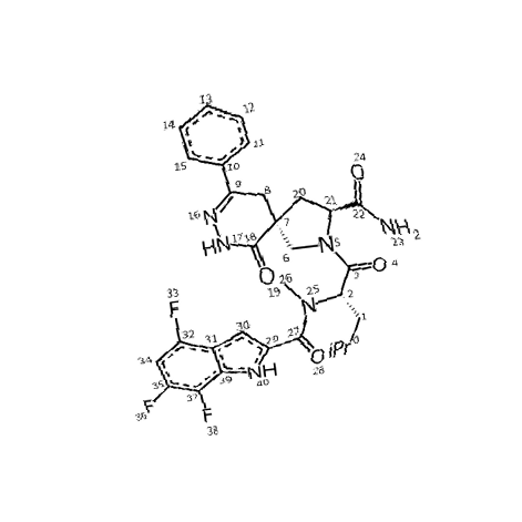 CC(C)C[C@@H](C(=O)N1C[C@]2(CC(c3ccccc3)=NNC2=O)C[C@H]1C(N)=O)N(C)C(=O)c1cc2c(F)cc(F)c(F)c2[nH]1